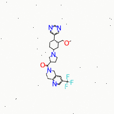 COCC1CC(N2CCC(C(=O)N3CCc4ncc(C(F)(F)F)cc4C3)C2)CCC1c1cncnc1